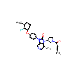 CC#CC(=O)N1CCC(n2c(=O)n(-c3ccc(Oc4cccc(OC)c4F)cc3)c3cncc(C)c32)C1